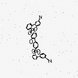 N#Cc1ccc2c(c1)-c1ccccc1P(=O)(c1ccc3c(c1)oc1cc(P4(=O)Oc5ccc(C#N)cc5-c5ccccc54)ccc13)O2